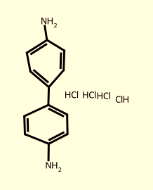 Cl.Cl.Cl.Cl.Nc1ccc(-c2ccc(N)cc2)cc1